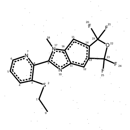 CCSc1cccnc1-c1nc2cc3c(cc2n1C)C(F)(F)OC3(F)F